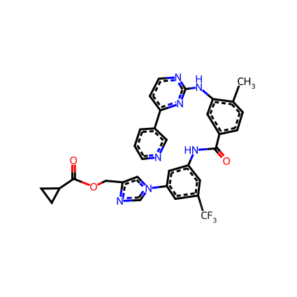 Cc1ccc(C(=O)Nc2cc(-n3cnc(COC(=O)C4CC4)c3)cc(C(F)(F)F)c2)cc1Nc1nccc(-c2cccnc2)n1